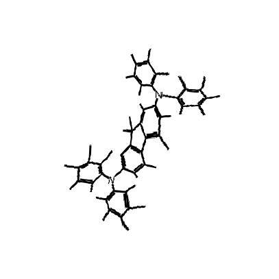 Cc1c(N(c2c(C)c(C)c(C)c(C)c2C)c2c(C)c(C)c(C)c(C)c2C)cc2c(c1C)-c1c(C)c(C)c(N(c3c(C)c(C)c(C)c(C)c3C)c3c(C)c(C)c(C)c(C)c3C)c(C)c1C2(C)C